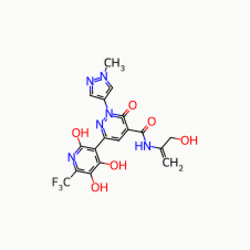 C=C(CO)NC(=O)c1cc(-c2c(O)nc(C(F)(F)F)c(O)c2O)nn(-c2cnn(C)c2)c1=O